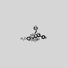 C[C@H]1CC[C@@](NC(=O)c2c(O)c3cc(-c4ccc(F)cc4)cnc3n(CCN3CCOCC3)c2=O)(C(=O)O)CC1